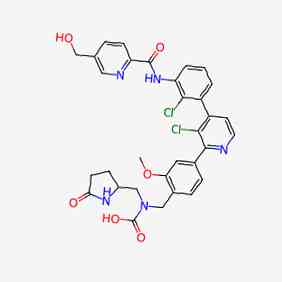 COc1cc(-c2nccc(-c3cccc(NC(=O)c4ccc(CO)cn4)c3Cl)c2Cl)ccc1CN(CC1CCC(=O)N1)C(=O)O